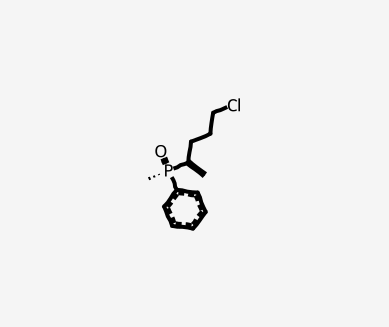 C=C(CCCCl)[P@](C)(=O)c1ccccc1